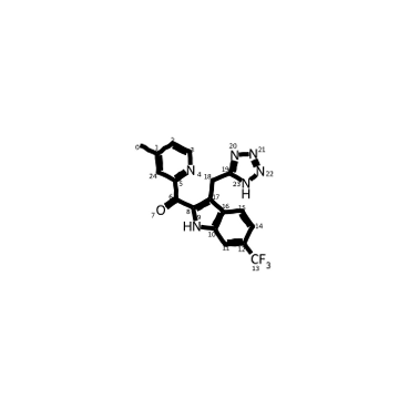 Cc1ccnc(C(=O)c2[nH]c3cc(C(F)(F)F)ccc3c2Cc2nnn[nH]2)c1